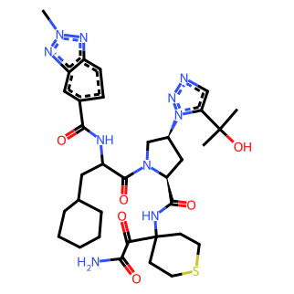 Cn1nc2ccc(C(=O)NC(CC3CCCCC3)C(=O)N3C[C@@H](n4nncc4C(C)(C)O)C[C@H]3C(=O)NC3(C(=O)C(N)=O)CCSCC3)cc2n1